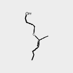 CCC=C(C)OCCO